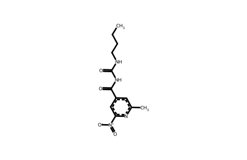 CCCCNC(=O)NC(=O)c1cc(C)nc([N+](=O)[O-])c1